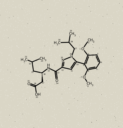 COc1cccc(OC)c1-c1cc(C(=O)N[C@@H](CC(=O)O)CC(C)C)nn1CC(C)C